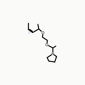 C/C=C\C(C)OCCOC(C)N1CCCC1